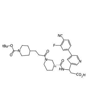 CC(C)(C)OC(=O)N1CCC(CCC(=O)N2CCC[C@@H](C(=O)NC(CC(=O)O)c3cncc(-c4ccc(C#N)c(F)c4)c3)C2)CC1